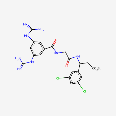 CCOC(=O)CC(NC(=O)CNC(=O)c1cc(NC(=N)N)cc(NC(=N)N)c1)c1cc(Cl)cc(Cl)c1